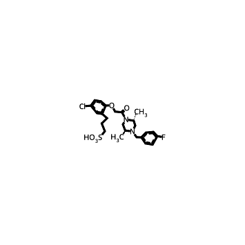 C[C@@H]1CN(Cc2ccc(F)cc2)[C@@H](C)CN1C(=O)COc1ccc(Cl)cc1CCCS(=O)(=O)O